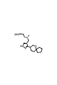 CNCCN(C)Cc1c[nH]nc1C1CCC2(CCCC2)OC1